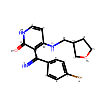 N=C(c1ccc(S)cc1)c1c(NCC2CCOC2)cc[nH]c1=O